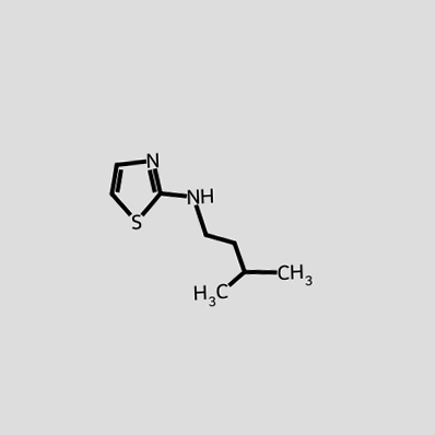 CC(C)CCNc1nccs1